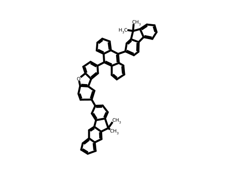 CC1(C)c2ccccc2-c2ccc(-c3c4ccccc4c(-c4ccc5oc6ccc(-c7ccc8c(c7)-c7cc9ccccc9cc7C8(C)C)cc6c5c4)c4ccccc34)cc21